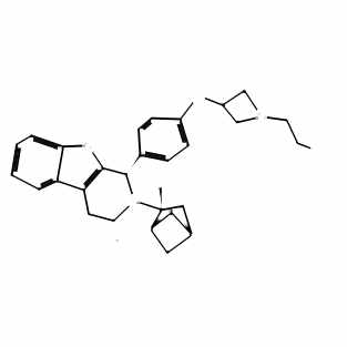 CCCN1CC(Oc2ccc([C@@H]3c4[nH]c5ccccc5c4C[C@@H](C)N3[C@@H]3CC4CC3C4)cc2)C1